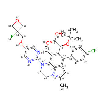 Cc1c([C@H](OC(C)(C)C)C(=O)O)c(-c2ccc(Cl)cc2)c2cc(C)n3c2c1N(c1ncc(OCC2(F)COC2)cn1)CC3